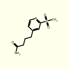 CS(=O)(=O)c1cc([CH]CCC(N)=O)ccn1